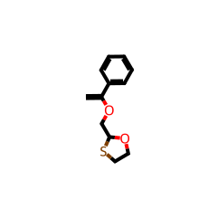 C=C(OCC1OCCS1)c1ccccc1